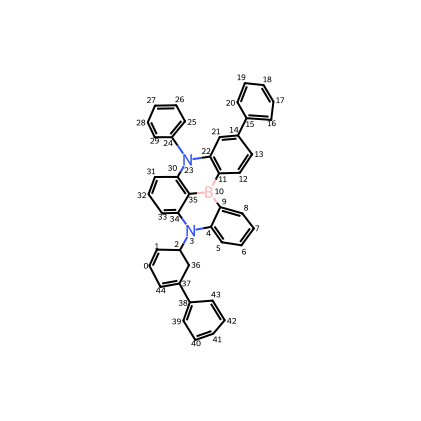 C1=CC(N2c3ccccc3B3c4ccc(-c5ccccc5)cc4N(c4ccccc4)c4cccc2c43)CC(c2ccccc2)=C1